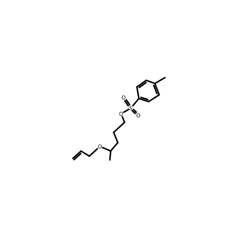 C=CCOC(C)CCCOS(=O)(=O)c1ccc(C)cc1